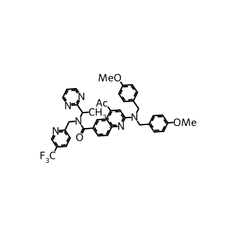 COc1ccc(CN(Cc2ccc(OC)cc2)c2cc(C(C)=O)c3cc(C(=O)N(Cc4ccc(C(F)(F)F)cn4)C(C)c4ncccn4)ccc3n2)cc1